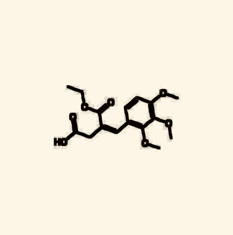 CCOC(=O)C(=Cc1ccc(OC)c(OC)c1OC)CC(=O)O